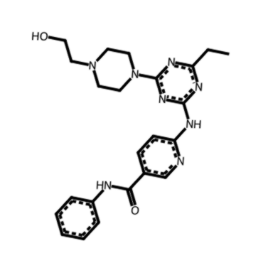 CCc1nc(Nc2ccc(C(=O)Nc3ccccc3)cn2)nc(N2CCN(CCO)CC2)n1